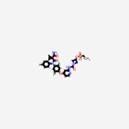 CCS(=O)(=O)OC1CN(C(=O)Nc2cc(Oc3cc(F)c(N(C(=O)C4(C(N)=O)CC4)c4ccc(F)cc4)cc3F)ccn2)C1